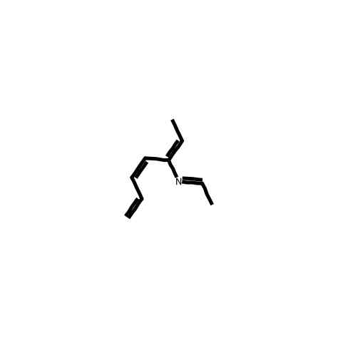 C=C\C=C/C(=C\C)/N=C/C